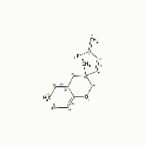 C=C(F)/C=C\C1(C)COC(=C/C(C)C)/C(=C\C)C1